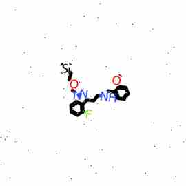 COc1ccccc1CNCCc1nn(COCC[Si](C)(C)C)c2cccc(F)c12